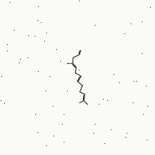 C=CCC(C)=CCC=CCCC=C(C)C